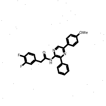 COc1ccc(-c2cnc(NC(=O)Cc3ccc(F)c(F)c3)c(-c3ccccc3)n2)cc1